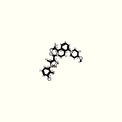 COC1CCN(c2cccc3c2CCN(C(=O)c2nnn(-c4cccc(Cl)c4F)c2C)C3C(=O)I)CC1